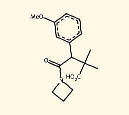 COc1cccc(C(C(=O)N2CCC2)C(C)(C)C(=O)O)c1